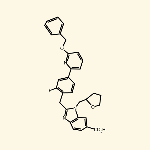 O=C(O)c1ccc2nc(Cc3ccc(-c4cccc(OCc5ccccc5)n4)cc3F)n(CC3CCCO3)c2c1